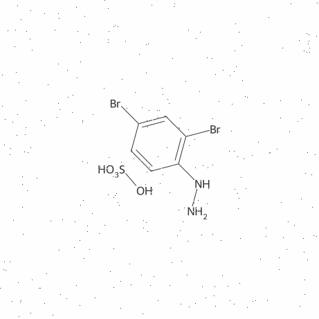 NNc1ccc(Br)cc1Br.O=S(=O)(O)O